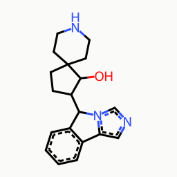 OC1C(C2c3ccccc3-c3cncn32)CCC12CCNCC2